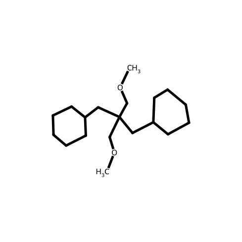 COCC(COC)(CC1CCCCC1)CC1CCCCC1